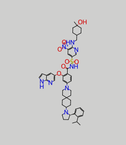 CC(C)c1ccccc1[C@H]1CCCN1C1CCC2(CC1)CCN(c1ccc(C(=O)NS(=O)(=O)c3cnc(NCC4CCC(C)(O)CC4)c([N+](=O)[O-])c3)c(Oc3cnc4[nH]ccc4c3)c1)CC2